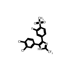 CS(=O)(=O)c1ccc(-c2nc(C(F)(F)F)[nH]c2-c2ccc(Cl)c(Cl)c2)cc1F